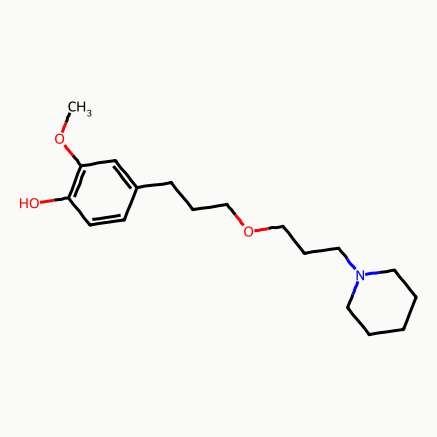 COc1cc(CCCOCCCN2CCCCC2)ccc1O